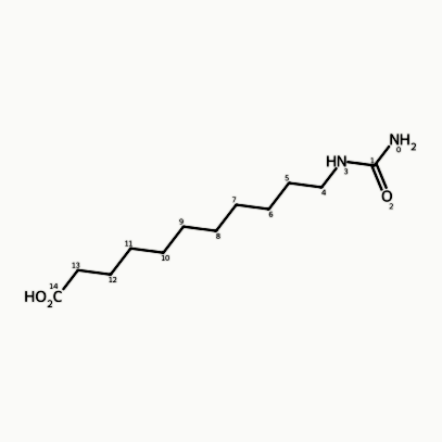 NC(=O)NCCCCCCCCCCC(=O)O